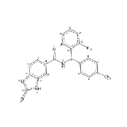 O=C(NC(c1ccc(C(F)(F)F)cc1)c1ncccc1F)c1ccc2oc(=O)[nH]c2c1